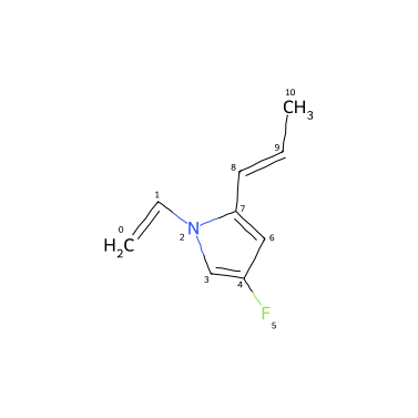 C=Cn1cc(F)cc1C=CC